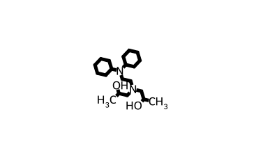 CC(O)CN(CCN(C1CCCCC1)C1CCCCC1)CC(C)O